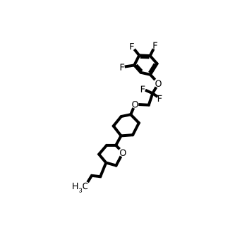 CCCC1CCC(C2CCC(OCC(F)(F)Oc3cc(F)c(F)c(F)c3)CC2)OC1